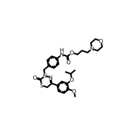 COc1ccc(C2=NN(Cc3ccc(NC(=O)OCCCN4CCOCC4)cc3)C(=O)SC2)cc1OC(C)C